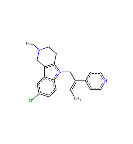 C/C=C(/Cn1c2c(c3cc(Cl)ccc31)CN(C)CC2)c1ccncc1